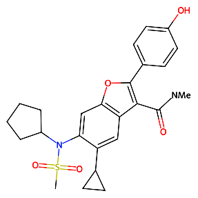 CNC(=O)c1c(-c2ccc(O)cc2)oc2cc(N(C3CCCC3)S(C)(=O)=O)c(C3CC3)cc12